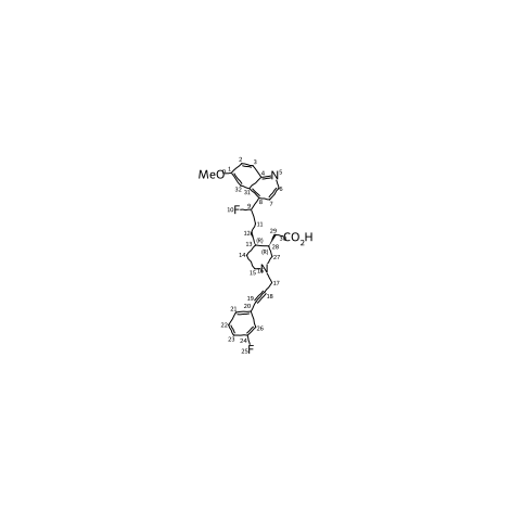 COc1ccc2nccc(C(F)CC[C@@H]3CCN(CC#Cc4cccc(F)c4)C[C@@H]3CC(=O)O)c2c1